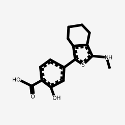 CNc1sc(-c2ccc(C(=O)O)c(O)c2)c2c1CCCC2